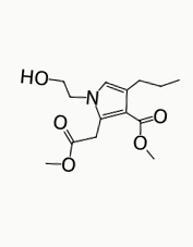 CCCc1cn(CCO)c(CC(=O)OC)c1C(=O)OC